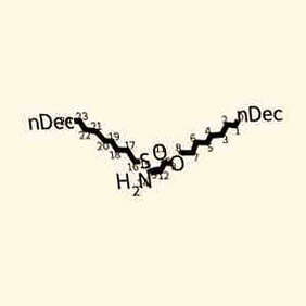 CCCCCCCCCCCCCCCCCCOC(=O)/C=C(/N)SCCCCCCCCCCCCCCCCCC